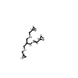 C(SCC1CS1)C(CSCC1CS1)CSCC1CS1